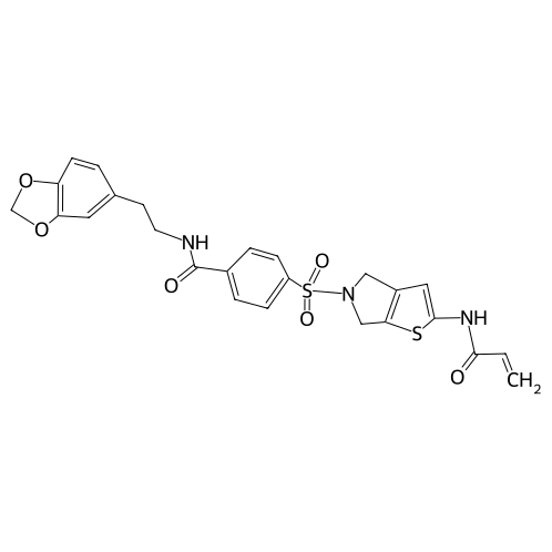 C=CC(=O)Nc1cc2c(s1)CN(S(=O)(=O)c1ccc(C(=O)NCCc3ccc4c(c3)OCO4)cc1)C2